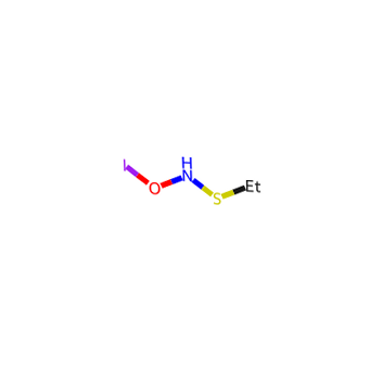 CCSNOI